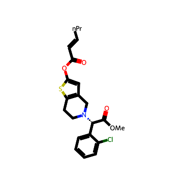 CCC/C=C/C(=O)Oc1cc2c(s1)CCN([C@H](C(=O)OC)c1ccccc1Cl)C2